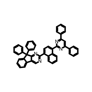 c1ccc(-c2cc(-c3ccccc3)nc(-c3ccc(-c4ncc5c(n4)C(c4ccccc4)(c4ccccc4)c4ccccc4-5)c4ccccc34)n2)cc1